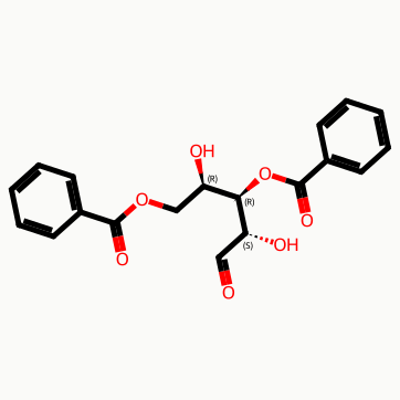 O=C[C@@H](O)[C@H](OC(=O)c1ccccc1)[C@H](O)COC(=O)c1ccccc1